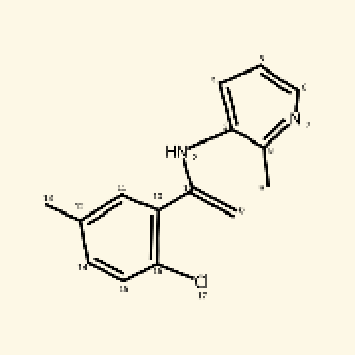 C=C(Nc1cccnc1C)c1cc(C)ccc1Cl